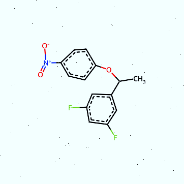 CC(Oc1ccc([N+](=O)[O-])cc1)c1cc(F)cc(F)c1